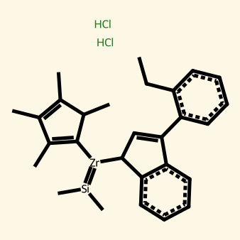 CCc1ccccc1C1=C[CH]([Zr]([C]2=C(C)C(C)=C(C)C2C)=[Si](C)C)c2ccccc21.Cl.Cl